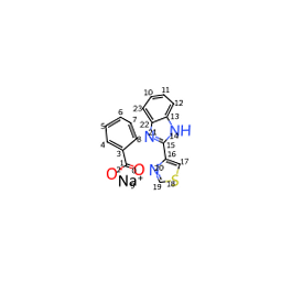 O=C([O-])c1ccccc1.[Na+].c1ccc2[nH]c(-c3cscn3)nc2c1